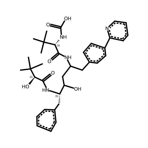 CC(C)(C)[C@H](O)C(=O)N[C@@H](Cc1ccccc1)C(O)CC(Cc1ccc(-c2ccccn2)cc1)NC(=O)[C@@H](NC(=O)O)C(C)(C)C